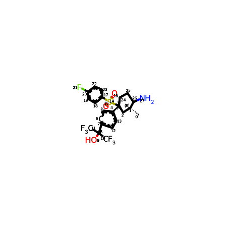 C[C@@H]1C[C@](c2ccc(C(O)(C(F)(F)F)C(F)(F)F)cc2)(S(=O)(=O)c2ccc(F)cc2)CCC1N